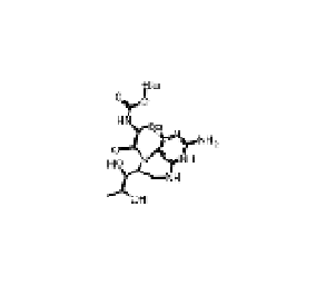 CCC(C)C(NC(=O)OC(C)(C)C)C(=O)N1c2c([nH]c(N)nc2=O)NCC1C(O)C(C)O